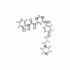 O=C(Nc1cc(Nc2ccc(OCCCN3CCOCC3)cc2)ncn1)Nc1ccccc1Cl